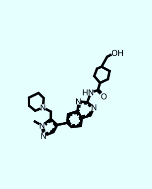 Cn1ncc(-c2ccc3cnc(NC(=O)C4CCC(CO)CC4)nc3c2)c1CN1CCCCC1